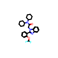 O=C(Cn1c(-c2ccccc2OC(F)F)nc2ccccc21)N(C1CCCCC1)C1CCCCC1